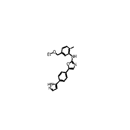 CCOCc1ccc(C)c(Nc2ncc(-c3ccc(-c4ccn[nH]4)cc3)o2)c1